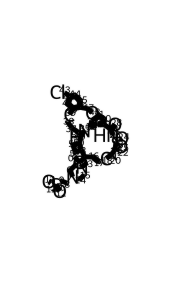 CO[C@@]1(CN2CCN(CCS(C)(=O)=O)CC2)/C=C/C[C@H](C)[C@@H](C)S(=O)(=O)NC(=O)c2ccc3c(c2)N(CCCCc2cc(Cl)ccc2CO3)C[C@@H]2CCC21